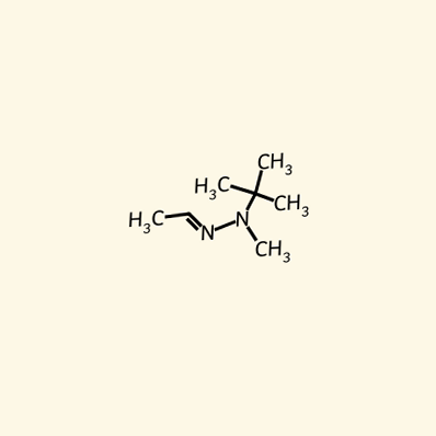 CC=NN(C)C(C)(C)C